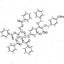 COc1ccc(COc2c(OCc3ccccc3)c3ccc(O[C@H]4O[C@H](COC(=O)c5ccccc5)[C@@H](OC(=O)c5ccccc5)[C@H](OC(=O)c5ccccc5)[C@@H]4OC(=O)c4ccccc4)cc3oc2=O)cc1